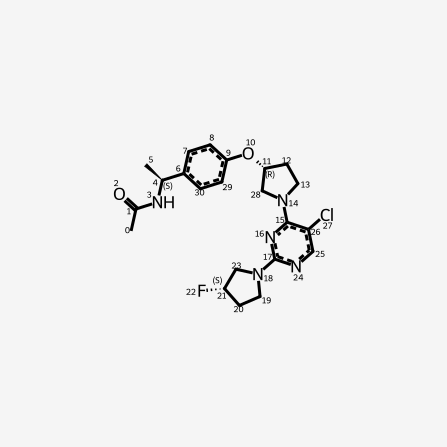 CC(=O)N[C@@H](C)c1ccc(O[C@@H]2CCN(c3nc(N4CC[C@H](F)C4)ncc3Cl)C2)cc1